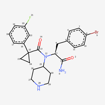 NC(=O)[C@H](Cc1ccc(Br)cc1)N(C(=O)C1(c2cccc(F)c2)CC1)C1CCNCC1